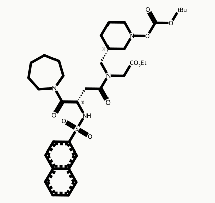 CCOC(=O)CN(C[C@@H]1CCCN(OC(=O)OC(C)(C)C)C1)C(=O)C[C@H](NS(=O)(=O)c1ccc2ccccc2c1)C(=O)N1CCCCCC1